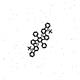 CC(C)(C)n1c2ccccc2c2ccc3c(c4cccc5c6c(-c7ccccc7)c7c(c(-c8ccccc8)c6n3c54)c3cccc4c5c6c(ccc5n7c34)c3ccccc3n6C(C)(C)C)c21